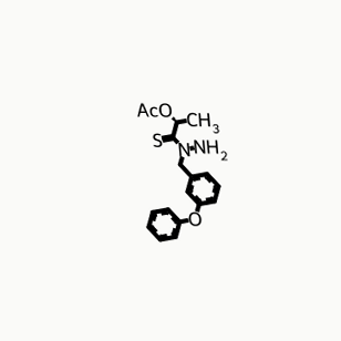 CC(=O)O[C@@H](C)C(=S)N(N)Cc1cccc(Oc2ccccc2)c1